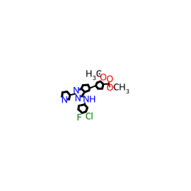 COC(=O)c1ccc(-c2ccc3nc(-c4cccnc4)nc(Nc4ccc(F)c(Cl)c4)c3c2)cc1OC